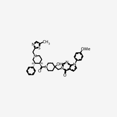 COc1ccc(-n2ccc3c(=O)n(CC4(O)CCN(C(=O)[C@@H]5CCN(Cc6ncc(C)s6)C[C@H]5c5ccccc5)CC4)cnc32)cc1